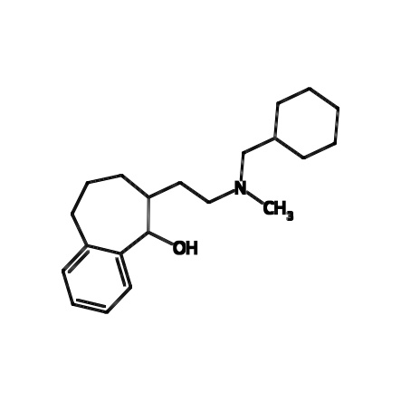 CN(CCC1CCCc2ccccc2C1O)CC1CCCCC1